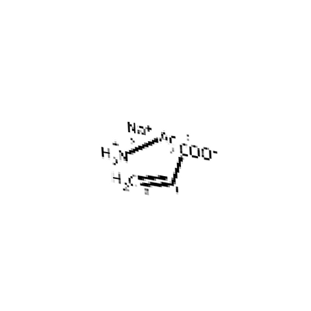 C=CC(=O)[O-].CC(N)=O.[Na+]